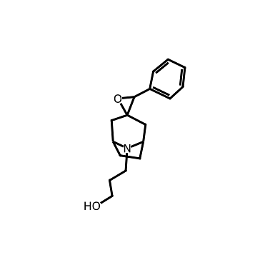 OCCCN1C2CCC1CC1(C2)OC1c1ccccc1